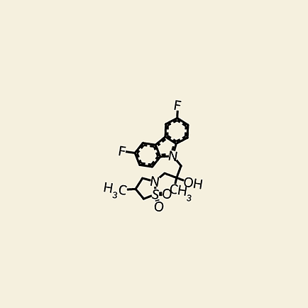 CC1CN(CC(C)(O)Cn2c3ccc(F)cc3c3cc(F)ccc32)S(=O)(=O)C1